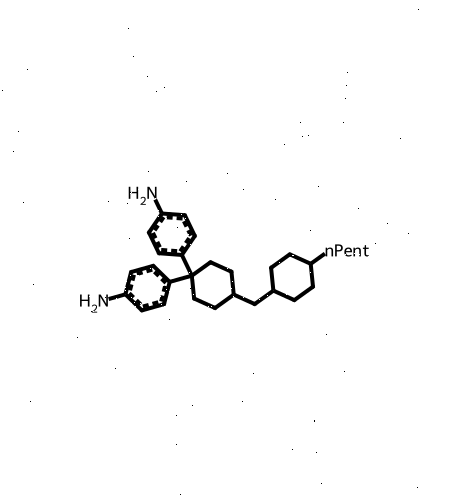 CCCCCC1CCC(CC2CCC(c3ccc(N)cc3)(c3ccc(N)cc3)CC2)CC1